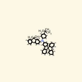 CC(C)(C)c1ccc(N(c2ccc3c(c2)-c2ccccc2C32c3ccccc3-c3ccccc32)c2ccc3c(c2)C(C)(C)c2ccccc2-3)cc1